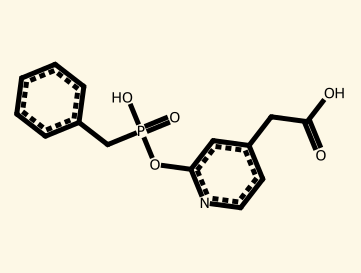 O=C(O)Cc1ccnc(OP(=O)(O)Cc2ccccc2)c1